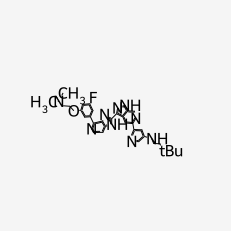 CN(C)CCOc1cc(F)cc(-c2nccc3[nH]c(-c4n[nH]c5cnc(-c6cncc(NCCC(C)(C)C)c6)cc45)nc23)c1